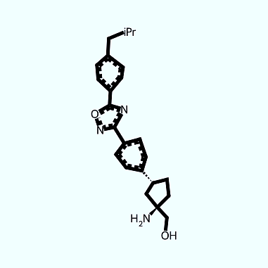 CC(C)Cc1ccc(-c2nc(-c3ccc([C@@H]4CC[C@](N)(CO)C4)cc3)no2)cc1